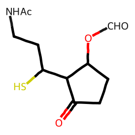 CC(=O)NCCC(S)C1C(=O)CCC1OC=O